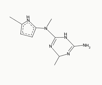 Cc1ccc(N(C)C2=NC(C)N=C(N)N2)[nH]1